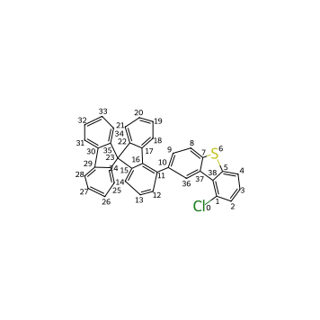 Clc1cccc2sc3ccc(-c4cccc5c4-c4ccccc4C54c5ccccc5-c5ccccc54)cc3c12